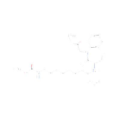 CCOC(=O)[C@H](CCCCCCCNC(=O)OC(C)(C)C)NC1COc2ccccc2N(CC(=O)OC(C)(C)C)C1=O